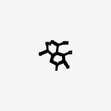 Cn1cc(C(=O)O)c(C(=O)O)c(Cl)c1=O